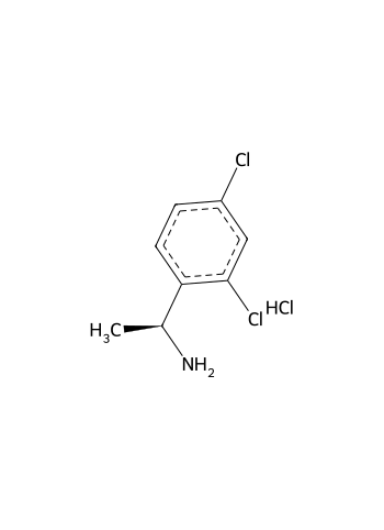 C[C@H](N)c1ccc(Cl)cc1Cl.Cl